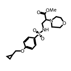 COC(=O)C(CNS(=O)(=O)c1ccc(OCC2CC2)cc1)N1CCOCC1